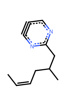 C/C=C\CC(C)Cc1nc#ccn1